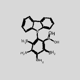 Bc1c(B)c(B)c(-n2c3ccccc3c3ccccc32)c(B(O)O)c1B